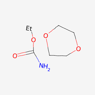 C1COCCO1.CCOC(N)=O